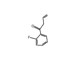 C=CCC(=O)c1ccccc1F